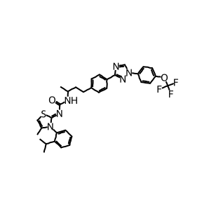 Cc1cs/c(=N\C(=O)NC(C)CCc2ccc(-c3ncn(-c4ccc(OC(F)(F)F)cc4)n3)cc2)n1-c1ccccc1C(C)C